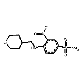 NS(=O)(=O)c1ccc(NCC2CCOCC2)c([N+](=O)[O-])c1